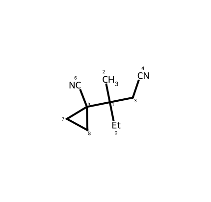 CCC(C)(CC#N)C1(C#N)CC1